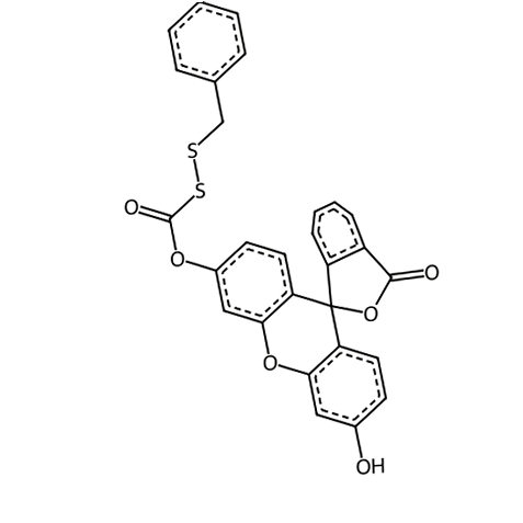 O=C(Oc1ccc2c(c1)Oc1cc(O)ccc1C21OC(=O)c2ccccc21)SSCc1ccccc1